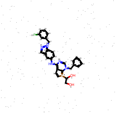 OCC(O)S1=C2C(=C(Nc3ccc4c(cnn4Cc4cccc(F)c4)c3)N=CN2Cc2ccccc2)C=C1